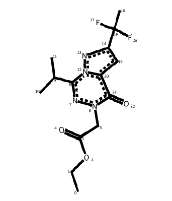 CCOC(=O)Cn1nc(C(C)C)n2nc(C(C)(F)F)cc2c1=O